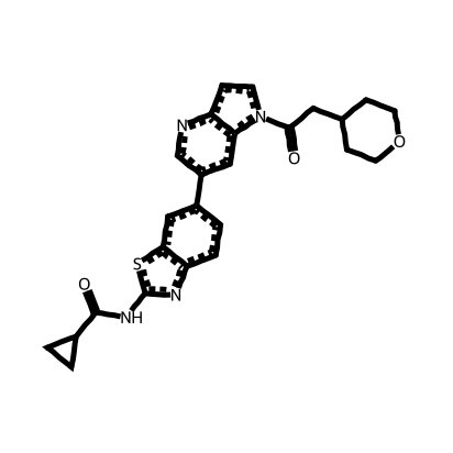 O=C(Nc1nc2ccc(-c3cnc4ccn(C(=O)CC5CCOCC5)c4c3)cc2s1)C1CC1